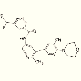 Cc1ncc(NC(=O)c2cccc(C(F)F)c2)cc1-c1cnc(N2CCOCC2)c(C#N)c1